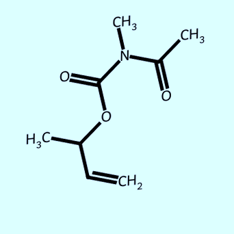 C=CC(C)OC(=O)N(C)C(C)=O